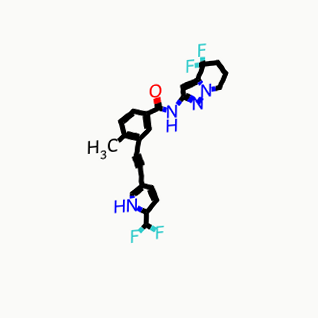 Cc1ccc(C(=O)Nc2cc3n(n2)CCCC3(F)F)cc1C#CC1=CNC(C(F)F)C=C1